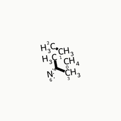 C.CC.CCC.[N]